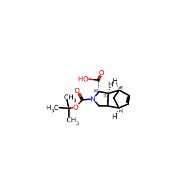 CC(C)(C)OC(=O)N1CC2[C@@H]([C@H]1C(=O)O)[C@H]1C=C[C@@H]2C1